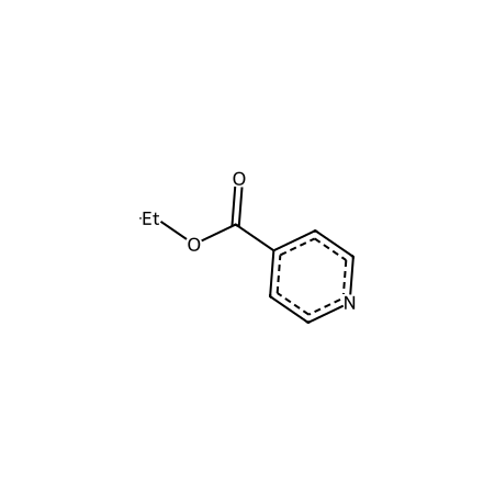 C[CH]OC(=O)c1ccncc1